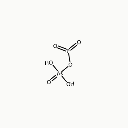 O=P(=O)O[As](=O)(O)O